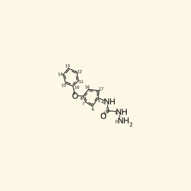 NNC(=O)Nc1ccc(Oc2ccccc2)cc1